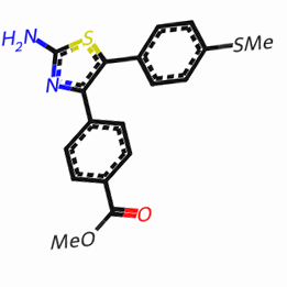 COC(=O)c1ccc(-c2nc(N)sc2-c2ccc(SC)cc2)cc1